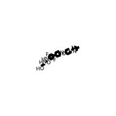 Cc1cnc(N2CCC(ON=C3CCC(c4cc(F)c(NC(=O)NCCO)cc4F)CC3)CC2)nc1